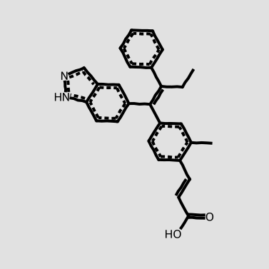 CCC(=C(c1ccc(C=CC(=O)O)c(C)c1)c1ccc2[nH]ncc2c1)c1ccccc1